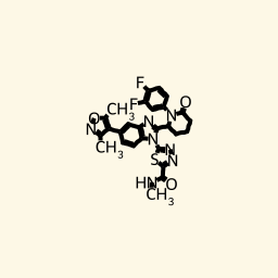 CNC(=O)c1nnc(-n2c(C3CCCC(=O)N3c3ccc(F)c(F)c3)nc3cc(-c4c(C)noc4C)ccc32)s1